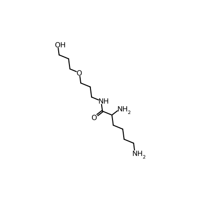 NCCCCC(N)C(=O)NCCCOCCCO